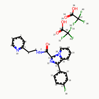 O=C(NCCc1ccccn1)c1nc(-c2ccc(F)cc2)c2ccccn12.O=C(O)C(F)(F)F.O=C(O)C(F)(F)F